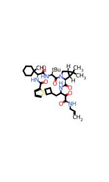 C=CCNC(=O)C(=O)C(CC1CCC1)NC(=O)[C@@H]1[C@@H]2[C@H](CN1C(=O)[C@@H](NC(=O)[C@@H](NC(=O)c1cccs1)C1(C)CCCCC1)C(C)(C)C)C2(C)C